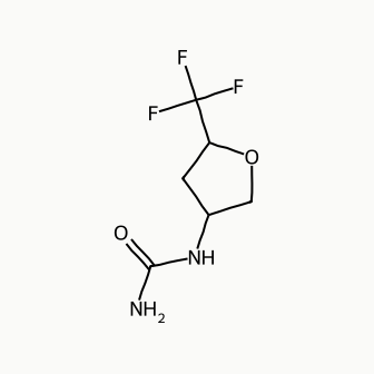 NC(=O)NC1COC(C(F)(F)F)C1